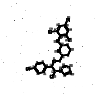 Clc1ccc(C(OCC2CCCC(Oc3c(Cl)cc(Cl)cc3Cl)O2)C(Cl)n2ccnc2)cc1